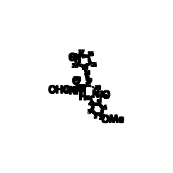 COc1ccc2c(c1)C(=O)N(C[C@@H](C#Cc1ccc[n+]([O-])c1)NC(=O)NC=O)C2